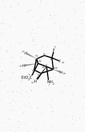 CCOC(=O)[C@H]1[C@H]2CC[C@@H]([C@@H]1N)C(F)(F)C2